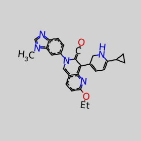 CCOc1ccc2c(n1)=C(C1=CC=C(C3CC3)NC1)C(=C=O)N(c1ccc3ncn(C)c3c1)C=2